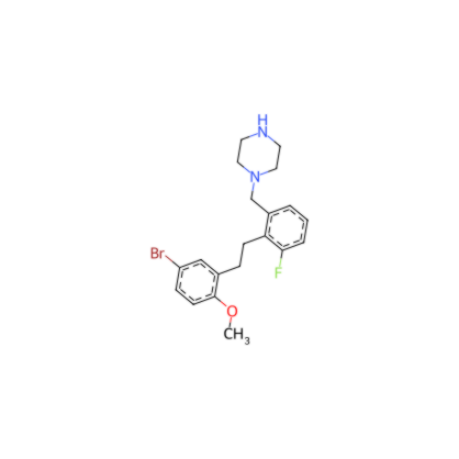 COc1ccc(Br)cc1CCc1c(F)cccc1CN1CCNCC1